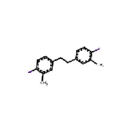 Cc1cc(CCc2ccc(I)c(C)c2)ccc1I